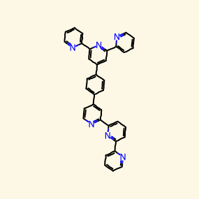 c1ccc(-c2cccc(-c3cc(-c4ccc(-c5cc(-c6ccccn6)nc(-c6ccccn6)c5)cc4)ccn3)n2)nc1